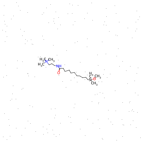 CO[Si](C)(C)CCCCCCCCCCC(=O)NCCC[N+](C)(C)C